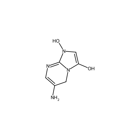 NC1=CN=C2N(O)C=C(O)N2C1